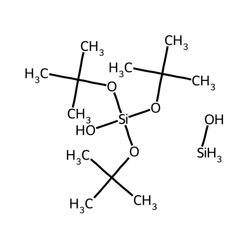 CC(C)(C)O[Si](O)(OC(C)(C)C)OC(C)(C)C.O[SiH3]